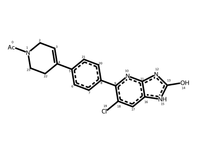 CC(=O)N1CC=C(c2ccc(-c3nc4nc(O)[nH]c4cc3Cl)cc2)CC1